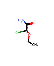 CCOC(Cl)C(N)=O